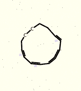 [C]1=C=C/C=C\C=C/CCCCC/C=C\1